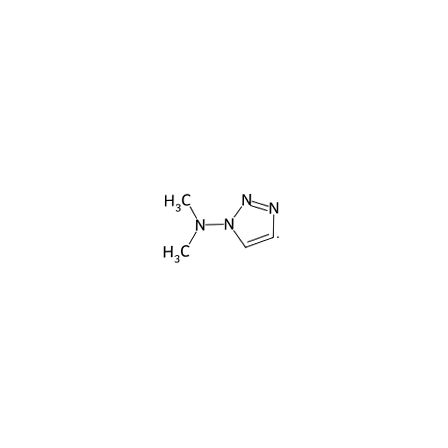 CN(C)n1c[c]nn1